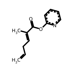 C=CCC=C(C)C(=O)Oc1ccccn1